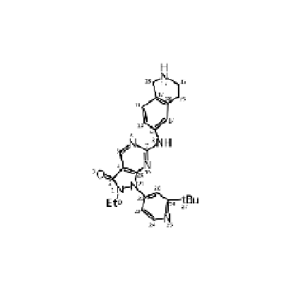 CCn1c(=O)c2cnc(Nc3ccc4c(c3)CCNC4)nc2n1-c1ccnc(C(C)(C)C)c1